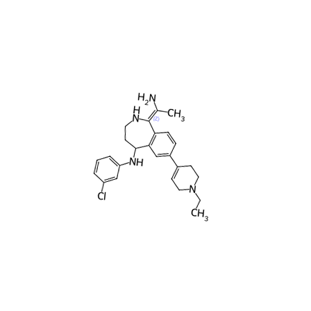 CCN1CC=C(c2ccc3c(c2)C(Nc2cccc(Cl)c2)CCN/C3=C(/C)N)CC1